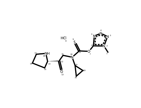 Cl.Cn1nnnc1OC(=S)N(CC(=O)[C@@H]1CCCN1)C1CC1